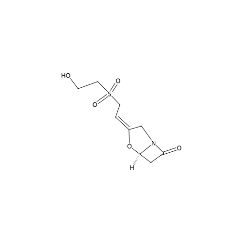 O=C1C[C@H]2O/C(=C/CS(=O)(=O)CCO)CN12